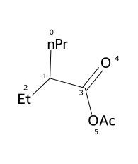 CCCC(CC)C(=O)OC(C)=O